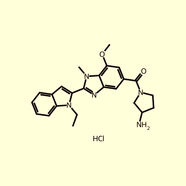 CCn1c(-c2nc3cc(C(=O)N4CCC(N)C4)cc(OC)c3n2C)cc2ccccc21.Cl